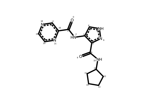 O=C(Nc1c[nH]nc1C(=O)NC1CCCC1)c1cnccn1